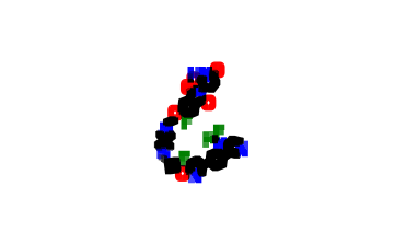 O=C1CCC(N2C(=O)c3cc(F)c(OCCN4CC5(C4)CN(C[C@H]4C[C@H](Oc6ncc(-c7ccc8c9cnccc9n(C(F)F)c8c7)cc6F)C4)C5)cc3C2=O)C(=O)N1